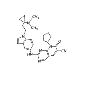 CN(C)C1(CCn2ccc3cc(Nc4ncc5cc(C#N)c(=O)n(C6CCCC6)c5n4)ccc32)CC1